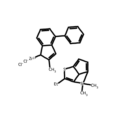 CC1=Cc2c(-c3ccccc3)cccc2[CH]1[Zr+2].CCC1=C2C3C(=CC=C3[Si]2(C)C)S1.[Cl-].[Cl-]